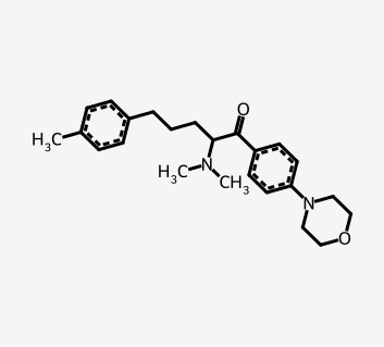 Cc1ccc(CCCC(C(=O)c2ccc(N3CCOCC3)cc2)N(C)C)cc1